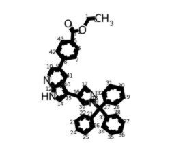 CCOC(=O)c1ccc(-c2cnc3[nH]cc(-c4cnn(C(c5ccccc5)(c5ccccc5)c5ccccc5)c4)c3c2)cc1